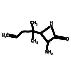 C=CCC(C)(C)C1NC(=O)C1N